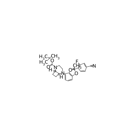 CC(C)(C)OC(=O)N1CCN(c2cccc3c2O[C@](C)(c2ccc(C#N)cc2F)O3)[C@H]2CC[C@H]21